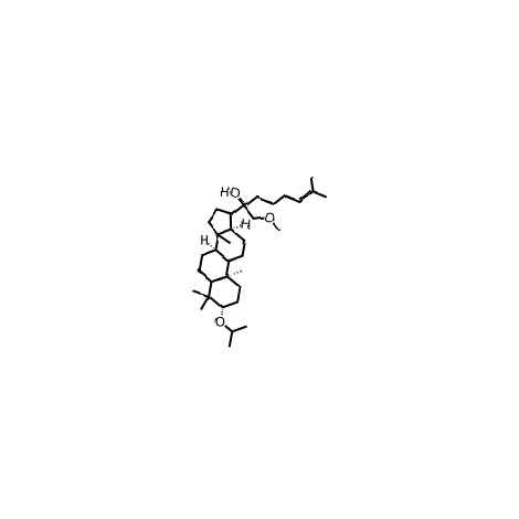 COCC(O)(CCCC=C(C)C)C1CCC2(C)[C@@H]1CCC1[C@H]2CCC2C(C)(C)[C@@H](OC(C)C)CC[C@]12C